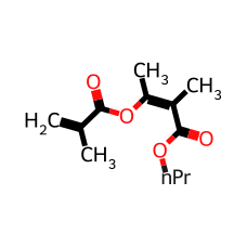 C=C(C)C(=O)OC(C)=C(C)C(=O)OCCC